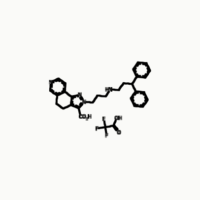 O=C(O)C(F)(F)F.O=C(O)c1c2c(nn1CCCNCCC(c1ccccc1)c1ccccc1)-c1ccncc1CC2